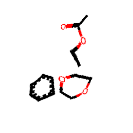 C1COCCO1.CCOC(C)=O.c1ccccc1